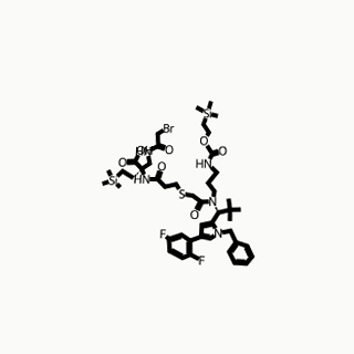 CC(C)(C)[C@H](c1cc(-c2cc(F)ccc2F)cn1Cc1ccccc1)N(CCCNC(=O)OCC[Si](C)(C)C)C(=O)CSCCC(=O)N[C@](CC[Si](C)(C)C)(CNC(=O)CBr)C(=O)O